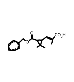 C/C(=C\C1C(C(=O)OCc2ccccc2)C1(C)C)C(=O)O